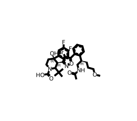 COCCC[C@@H](CNC(C)=O)c1ccccc1-c1onc([C@H]2C(C(C)(C)C)N(C(=O)O)CC[C@]2(O)c2ccc(F)c(F)c2)c1Br